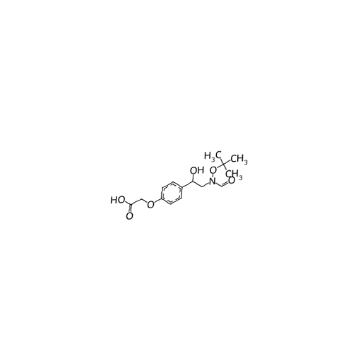 CC(C)(C)ON(C=O)CC(O)c1ccc(OCC(=O)O)cc1